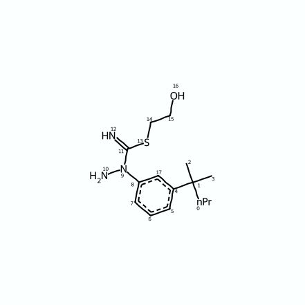 CCCC(C)(C)c1cccc(N(N)C(=N)SCCO)c1